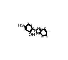 Oc1cc(S)ccc1-n1nc2ccccc2n1